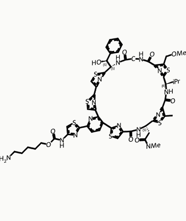 CNC(=O)C[C@@H]1NC(=O)c2csc(n2)-c2ccc(-c3nc(NC(=O)OCCCCCN)cs3)nc2-c2csc(n2)-c2csc(n2)[C@H]([C@@H](O)c2ccccc2)NC(=O)CNC(=O)c2nc(sc2COC)[C@@H](C(C)C)NC(=O)c2nc1sc2C